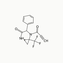 C#CC(=O)N(C(C(N)=O)c1ccccc1)C1(C(F)(F)F)CC1